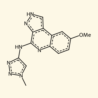 COc1ccc2nc(Nc3cn(C)nn3)c3n[nH]cc3c2c1